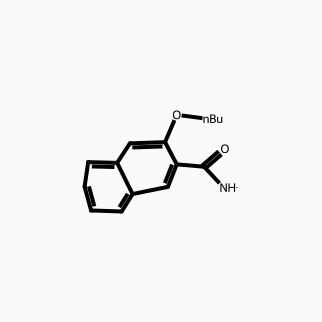 CCCCOc1cc2ccccc2cc1C([NH])=O